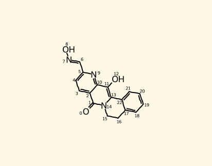 O=c1c2ccc(/C=N/O)nc2c(O)c2n1CCc1ccccc1-2